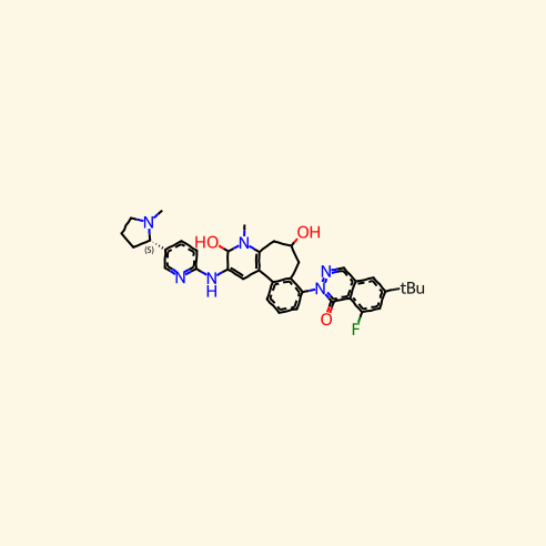 CN1C2=C(C=C(Nc3ccc([C@@H]4CCCN4C)cn3)C1O)c1cccc(-n3ncc4cc(C(C)(C)C)cc(F)c4c3=O)c1CC(O)C2